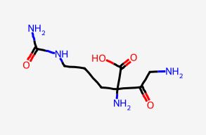 NCC(=O)C(N)(CCCNC(N)=O)C(=O)O